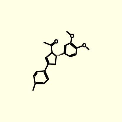 COc1ccc([C@@H]2CC(c3ccc(C)cc3)=CC2C(C)=O)cc1OC